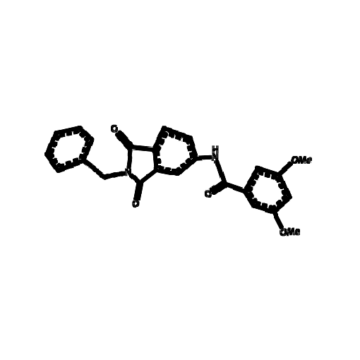 COc1cc(OC)cc(C(=O)Nc2ccc3c(c2)C(=O)N(Cc2ccccc2)C3=O)c1